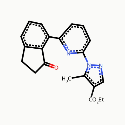 CCOC(=O)c1cnn(-c2cccc(-c3cccc4c3C(=O)CC4)n2)c1C